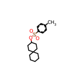 Cc1ccc(S(=O)(=O)OC2CCC3(CCCCC3)CC2)cc1